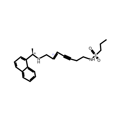 CCCS(=O)(=O)NCCC#C/C=C/CN[C@H](C)c1cccc2ccccc12